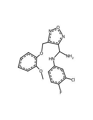 COc1ccccc1OCc1nonc1C(N)Nc1ccc(F)c(Cl)c1